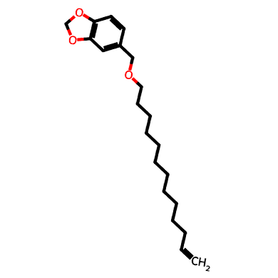 C=CCCCCCCCCCCCOCc1ccc2c(c1)OCO2